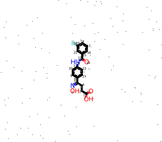 O=C(O)CC/C(=N\O)c1ccc(NC(=O)c2cccc(F)c2)cc1